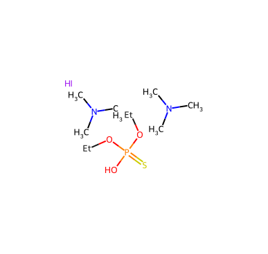 CCOP(O)(=S)OCC.CN(C)C.CN(C)C.I